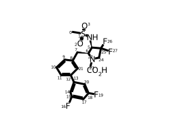 CS(=O)(=O)N[C@@H]1[C@H](Cc2cccc(-c3cc(F)cc(F)c3)c2)N(C(=O)O)CC1(F)F